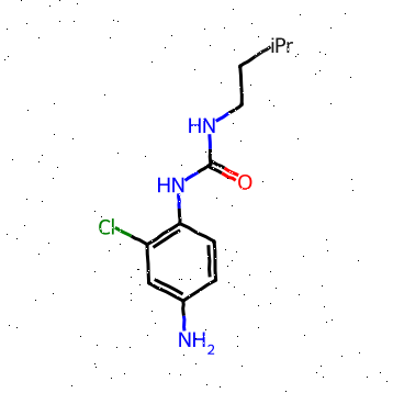 CC(C)CCNC(=O)Nc1ccc(N)cc1Cl